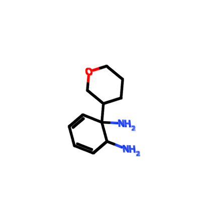 NC1C=CC=CC1(N)C1CCCOC1